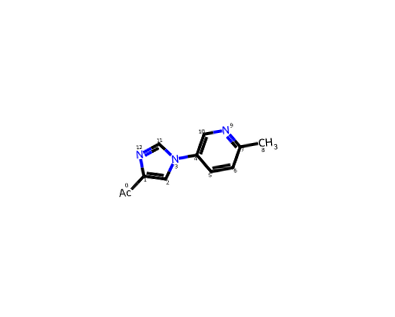 CC(=O)c1cn(-c2ccc(C)nc2)cn1